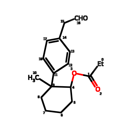 CCC(=O)OC1CCCCC1(C)c1ccc(CC=O)cc1